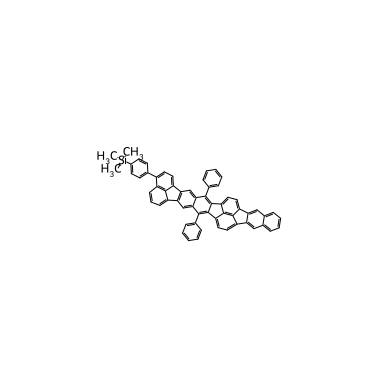 C[Si](C)(C)c1ccc(-c2ccc3c4cc5c(-c6ccccc6)c6c7ccc8c9c(ccc(c6c(-c6ccccc6)c5cc4c4cccc2c43)c97)-c2cc3ccccc3cc2-8)cc1